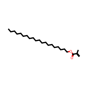 C=C(C)C(=O)OCCCCCCCCCCCCCCCCCCCC